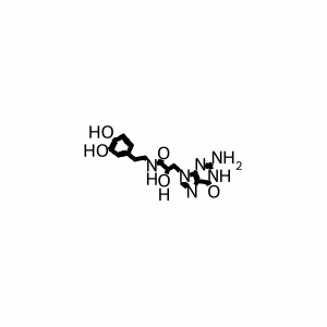 Nc1nc2c(ncn2CC(O)C(=O)NCCc2ccc(O)c(O)c2)c(=O)[nH]1